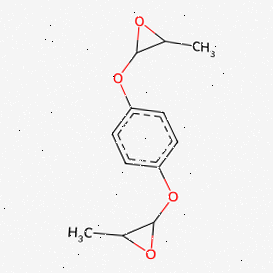 CC1OC1Oc1ccc(OC2OC2C)cc1